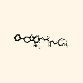 CCN(CC)CCNC(=O)CSc1nc(N)c2c3c(sc2n1)CC(c1ccccc1)CC3